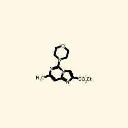 CCOC(=O)c1cn2c(N3CCOCC3)nc(C)cc2n1